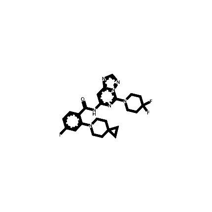 O=C(Nc1cc2ncnn2c(N2CCC(F)(F)CC2)n1)c1ccc(I)cc1N1CCC2(CC1)CC2